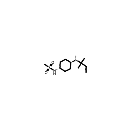 CCC(C)(C)N[C@H]1CC[C@H](NS(C)(=O)=O)CC1